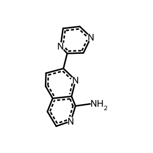 Nc1nccc2ccc(-c3cnccn3)nc12